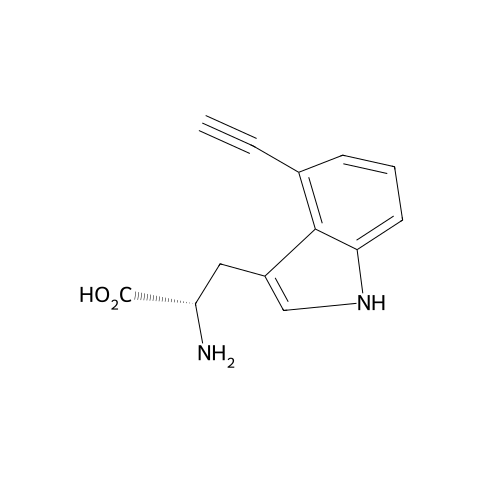 C#Cc1cccc2[nH]cc(C[C@H](N)C(=O)O)c12